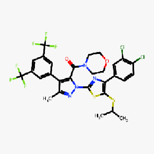 Cc1nn(-c2nc(-c3ccc(Cl)c(Cl)c3)c(SC(C)C)s2)c(C(=O)N2CCOCC2)c1-c1cc(C(F)(F)F)cc(C(F)(F)F)c1